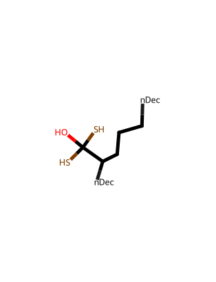 CCCCCCCCCCCCCC(CCCCCCCCCC)C(O)(S)S